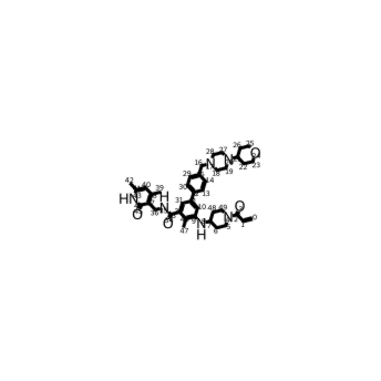 C=CC(=O)N1CCC(Nc2cc(-c3ccc(CN4CCN(C5CCOCC5)CC4)cc3)cc(C(=O)NCc3c(C)cc(C)[nH]c3=O)c2C)CC1